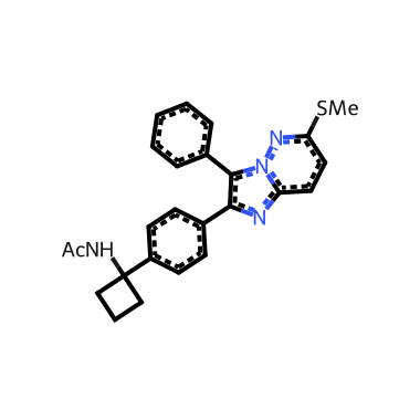 CSc1ccc2nc(-c3ccc(C4(NC(C)=O)CCC4)cc3)c(-c3ccccc3)n2n1